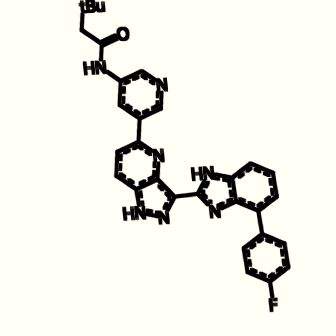 CC(C)(C)CC(=O)Nc1cncc(-c2ccc3[nH]nc(-c4nc5c(-c6ccc(F)cc6)cccc5[nH]4)c3n2)c1